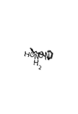 CC#CC(O)CC(N)COCCN1CCCCC1